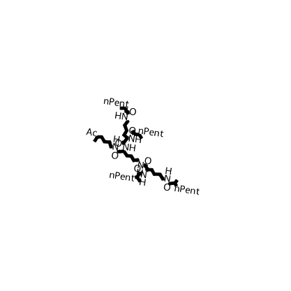 CCCCCC(C)C(=O)NCCCCC(NC(=O)C(C)CCCCC)C(=O)NCCCCC(NC(=O)C(CCCCNC(=O)C(C)CCCCC)NC(=O)C(C)CCCCC)C(=O)NCCCCC(C)C(C)=O